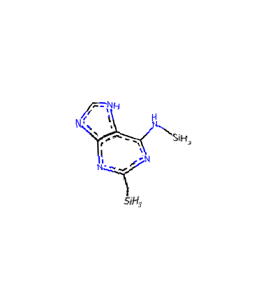 [SiH3]Nc1nc([SiH3])nc2nc[nH]c12